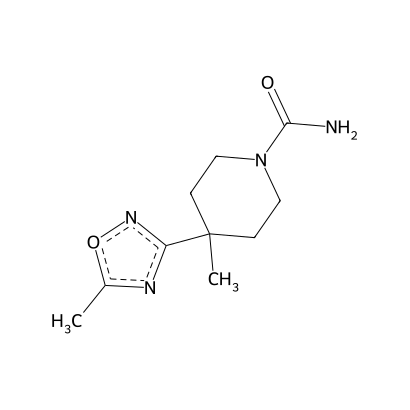 Cc1nc(C2(C)CCN(C(N)=O)CC2)no1